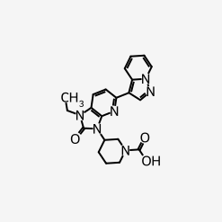 CCn1c(=O)n(C2CCCN(C(=O)O)C2)c2nc(-c3cnn4ccccc34)ccc21